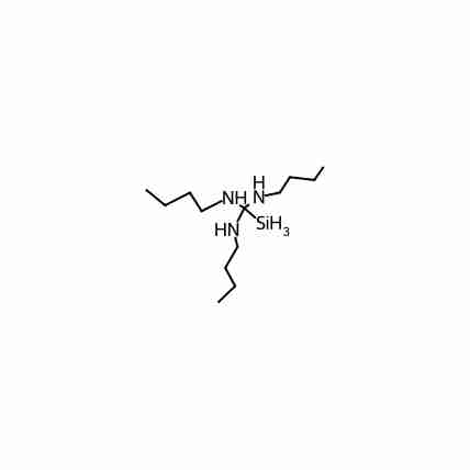 CCCCNC([SiH3])(NCCCC)NCCCC